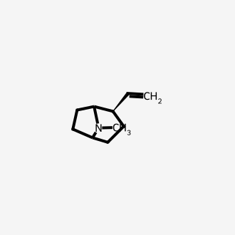 C=C[C@H]1CCC2CCC1N2C